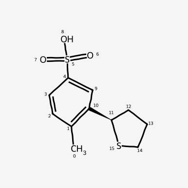 Cc1ccc(S(=O)(=O)O)cc1[C@H]1CCCS1